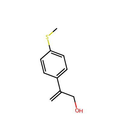 C=C(CO)c1ccc(SC)cc1